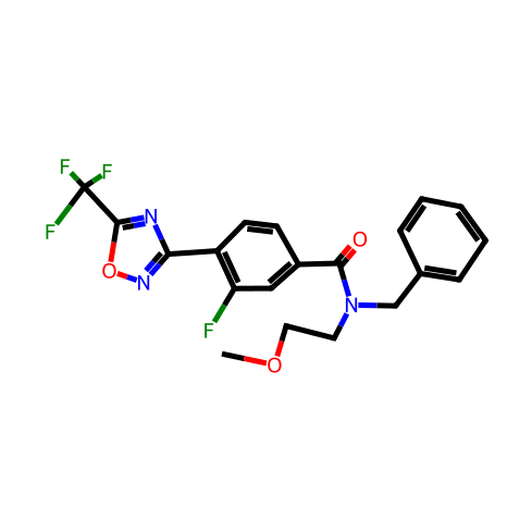 COCCN(Cc1ccccc1)C(=O)c1ccc(-c2noc(C(F)(F)F)n2)c(F)c1